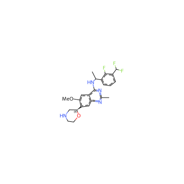 COc1cc2c(NC(C)c3cccc(C(F)F)c3F)nc(C)nc2cc1[C@@H]1CNCCO1